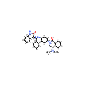 CN(C)CCN(C(=O)c1ccccc1)c1ccc(N/C(=C2\C(=O)Nc3ccccc32)c2ccccc2)cc1